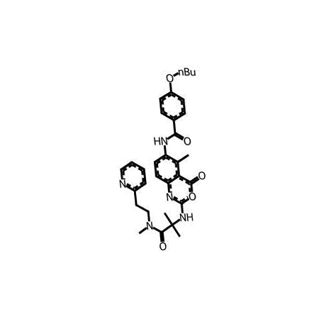 CCCCOc1ccc(C(=O)Nc2ccc3nc(NC(C)(C)C(=O)N(C)CCc4ccccn4)oc(=O)c3c2C)cc1